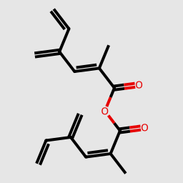 C=CC(=C)C=C(C)C(=O)OC(=O)C(C)=CC(=C)C=C